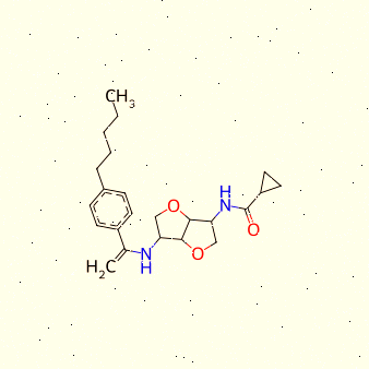 C=C(NC1COC2C(NC(=O)C3CC3)COC12)c1ccc(CCCCC)cc1